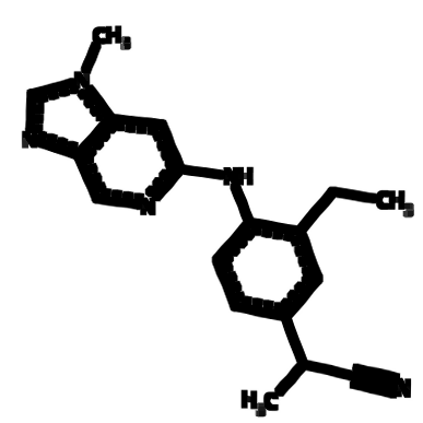 CCc1cc(C(C)C#N)ccc1Nc1cc2c(cn1)ncn2C